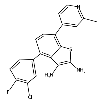 Cc1cc(-c2ccc(-c3ccc(F)c(Cl)c3)c3c(N)c(N)sc23)ccn1